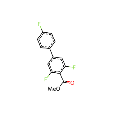 COC(=O)c1c(F)cc(-c2ccc(F)cc2)cc1F